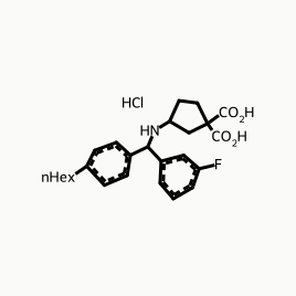 CCCCCCc1ccc(C(NC2CCC(C(=O)O)(C(=O)O)C2)c2cccc(F)c2)cc1.Cl